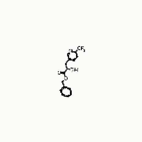 O=C(OCc1ccccc1)C(O)Cc1ccc(C(F)(F)F)nc1